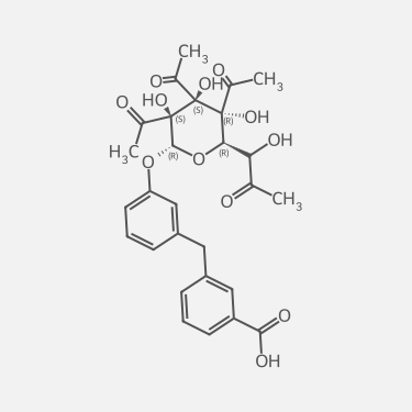 CC(=O)C(O)[C@H]1O[C@H](Oc2cccc(Cc3cccc(C(=O)O)c3)c2)[C@](O)(C(C)=O)[C@](O)(C(C)=O)[C@@]1(O)C(C)=O